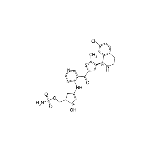 Cc1sc(C(=O)c2cncnc2NC2=C[C@H](O)C(COS(N)(=O)=O)C2)cc1[C@@H]1NCCc2ccc(Cl)cc21